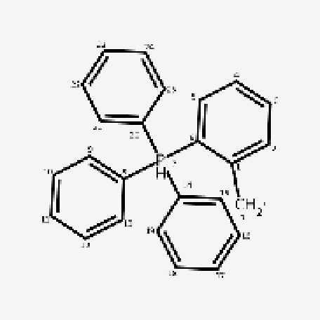 [CH2]c1ccccc1[PH](c1ccccc1)(c1ccccc1)c1ccccc1